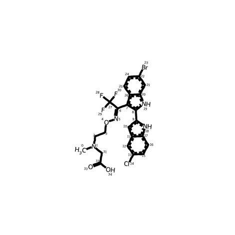 CN(CCO/N=C(/c1c(-c2cc3cc(Cl)ccc3[nH]2)[nH]c2cc(Br)ccc12)C(F)(F)F)CC(=O)O